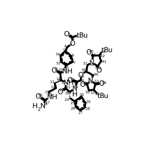 CC(C)(C)C(=O)OCc1ccc(NC(=O)[C@H](CCCNC(N)=O)NC(=O)[C@@H](Cc2ccccc2)NC(=O)COC(CN2C(=O)CC(C(C)(C)C)C2=O)CN2C(=O)CC(C(C)(C)C)C2=O)cc1